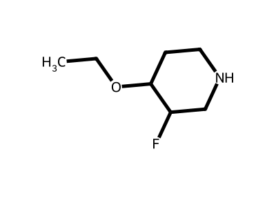 CCOC1CCNCC1F